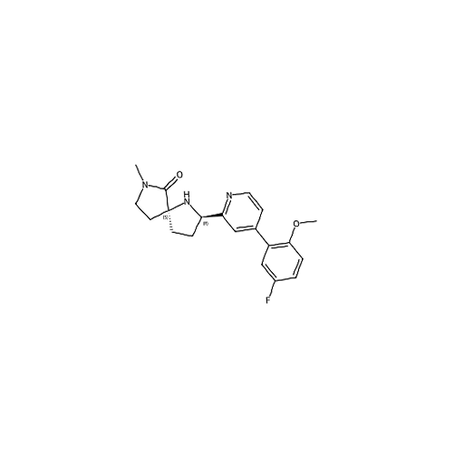 COc1ccc(F)cc1-c1ccnc([C@H]2CC[C@@]3(CCN(C)C3=O)N2)c1